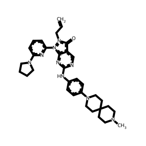 C=CCn1c(=O)c2cnc(Nc3ccc(N4CCC5(CCN(C)CC5)CC4)cc3)nc2n1-c1cccc(N2CCCC2)n1